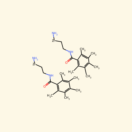 Cc1c(C)c(C)c(C(=O)NC[CH2][Zr][NH2])c(C)c1C.Cc1c(C)c(C)c(C(=O)NC[CH2][Zr][NH2])c(C)c1C